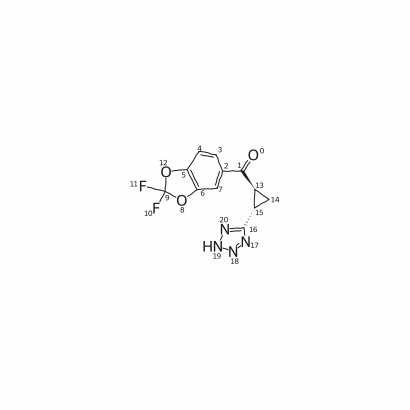 O=C(c1ccc2c(c1)OC(F)(F)O2)[C@H]1C[C@@H]1c1nn[nH]n1